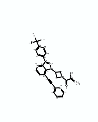 C=C(F)C(=O)N1CC(n2nc(-c3ccc(C(F)(F)F)cc3)c3nccc(C#Cc4ccccn4)c32)C1